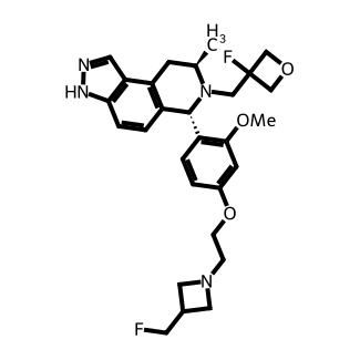 COc1cc(OCCN2CC(CF)C2)ccc1[C@@H]1c2ccc3[nH]ncc3c2C[C@@H](C)N1CC1(F)COC1